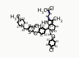 C=c1c2c([nH]/c1=C/C=C(\C)Cl)C(c1ccc(OC3SC(CN4CCN(C)CC4)=CN3C)cc1)N(COc1ccc(Cl)cc1)CC2